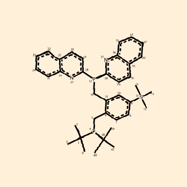 CC(C)(C)P(Cc1ccc([Si](C)(C)C)cc1CP(c1ccc2ccccc2n1)c1ccc2ccccc2n1)C(C)(C)C